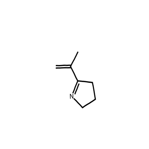 C=C(C)C1=NCCC1